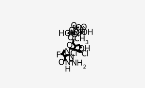 C[C@@H](OP(=O)(O)OP(=O)(O)OP(=O)(O)O)[C@H]1O[C@@H](n2cc(F)c3c(=O)[nH]c(N)nc32)C(Cl)(C#CCl)C1CO